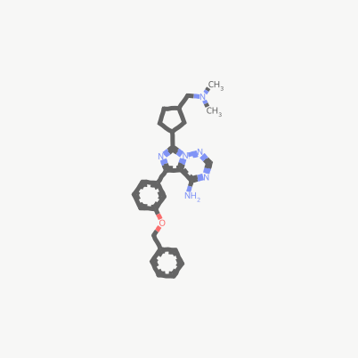 CN(C)CC1CCC(c2nc(-c3cccc(OCc4ccccc4)c3)c3c(N)ncnn23)C1